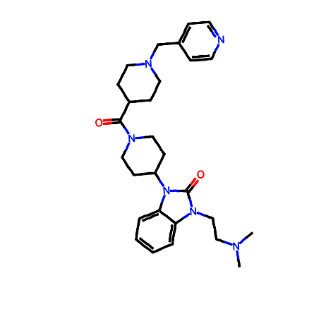 CN(C)CCn1c(=O)n(C2CCN(C(=O)C3CCN(Cc4ccncc4)CC3)CC2)c2ccccc21